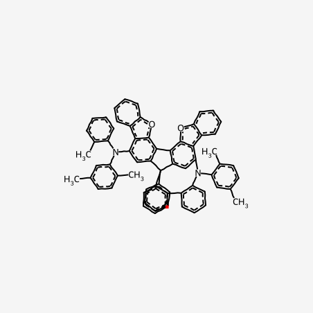 Cc1ccc(C)c(N(c2ccccc2C)c2cc3c(c4oc5ccccc5c24)-c2c4cc(c5c2oc2ccccc25)N(c2cc(C)ccc2C)c2ccccc2-c2ccccc2C34c2ccccc2)c1